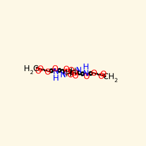 C=CC(=O)OCCCCOc1ccc(C(=O)Nc2ccc(/C=C(\C#N)C(=O)O[C@H]3CO[C@H]4[C@@H]3OC[C@H]4OC(=O)/C(C#N)=C/c3ccc(NC(=O)c4ccc(OCCCCOC(=O)C=C)cc4)cc3)cc2)cc1